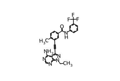 CCn1nc(C#Cc2cc(C(=O)Nc3cccc(C(F)(F)F)c3)ccc2C)c2c(N)ncnc21